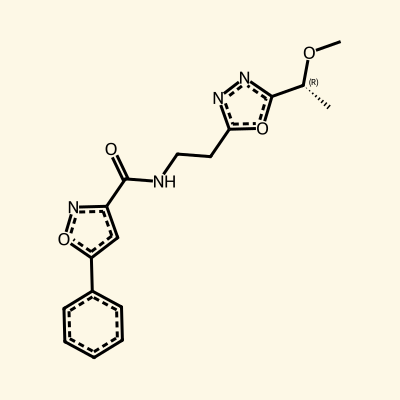 CO[C@H](C)c1nnc(CCNC(=O)c2cc(-c3ccccc3)on2)o1